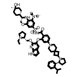 CCN1CCC[C@@H]1COc1nc2[nH]ccc2cc1Oc1cc(N2CCC3(CC2)CC(N2CCC[C@H]2c2ccccc2C(C)C)C3)ccc1C(=O)NS(=O)(=O)c1cc2c(c([N+](=O)[O-])c1)N[C@@H]([C@H]1CC[C@](C)(O)CC1)CO2